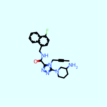 CC#CCn1c(C(=O)NCc2ccc(F)c3ccccc23)nnc1N1CCCC(N)C1